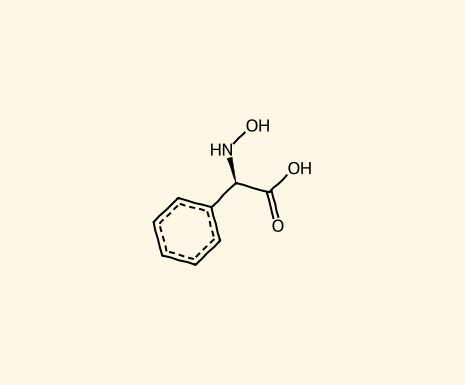 O=C(O)[C@H](NO)c1ccccc1